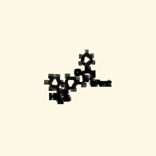 CCCCCc1nn(-c2ccccc2)c(=O)n1Cc1ccc(-c2ccccc2-c2nnn[nH]2)cc1